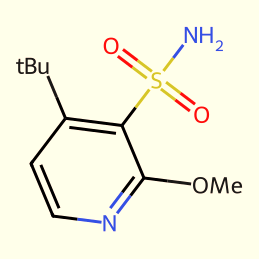 COc1nccc(C(C)(C)C)c1S(N)(=O)=O